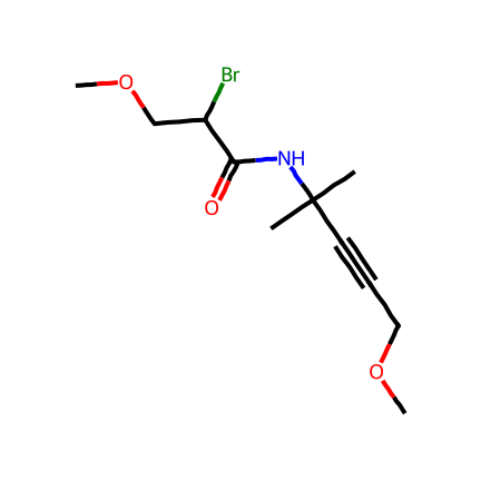 COCC#CC(C)(C)NC(=O)C(Br)COC